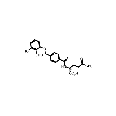 NC(=O)CC[C@H](NC(=O)c1ccc(COc2cccc(O)c2C=O)cc1)C(=O)O